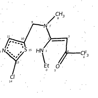 CCNC(=CC(=O)C(F)(F)F)N(C)Cc1cnc(Cl)s1